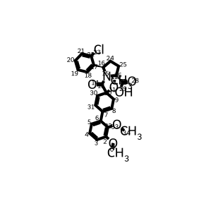 COc1cccc(C2=CCC(OC)(C(=O)N3[C@@H](c4ccccc4Cl)CC[C@H]3C(=O)O)C=C2)c1OC